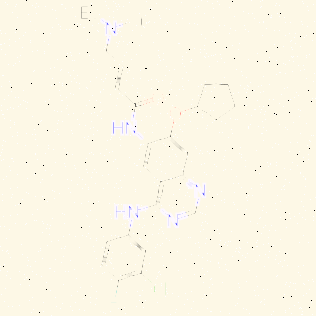 CCN(CC)CC=CC(=O)Nc1cc2c(Nc3ccc(F)c(Cl)c3)ncnc2cc1OC1CCCC1